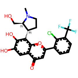 CN1CC[C@H](c2c(O)c(O)cc3c(=O)cc(-c4cccc(C(F)(F)F)c4Cl)oc23)[C@H]1CO